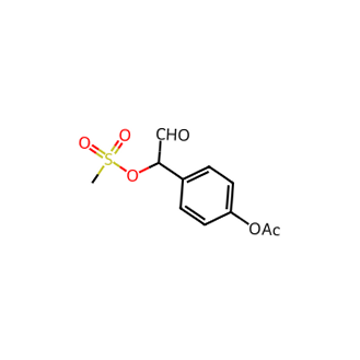 CC(=O)Oc1ccc(C(C=O)OS(C)(=O)=O)cc1